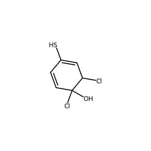 OC1(Cl)C=CC(S)=CC1Cl